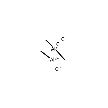 [CH3][Al+2].[CH3][Al+][CH3].[Cl-].[Cl-].[Cl-]